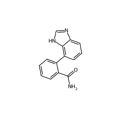 NC(=O)c1ccccc1-c1cccc2nc[nH]c12